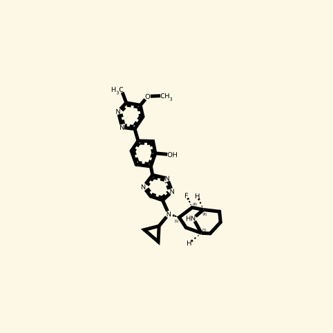 COc1cc(-c2ccc(-c3ncc(N(C4CC4)[C@H]4C[C@@H]5CCC[C@@H](N5)[C@H]4F)nn3)c(O)c2)nnc1C